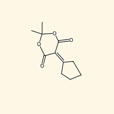 CC1(C)OC(=O)C(=C2CCCC2)C(=O)O1